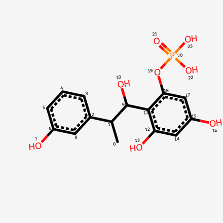 CC(c1cccc(O)c1)C(O)c1c(O)cc(O)cc1OP(=O)(O)O